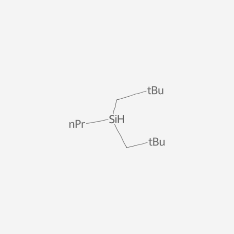 CCC[SiH](CC(C)(C)C)CC(C)(C)C